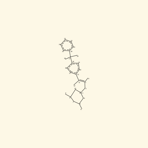 CC(CN1CC(C)CC(C)C1)=C(C)c1ccc(C(C)(C)c2ccccc2)cc1